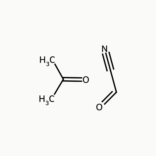 CC(C)=O.N#CC=O